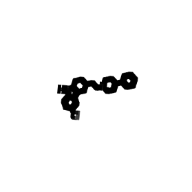 Clc1ccc2[nH]c3c(c2c1)CC(CCN1CC=C(c2ccccc2)CC1)CC3